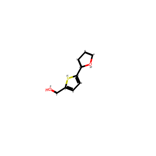 OCc1ccc(C2CCCO2)s1